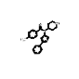 Cc1ccc(C(=O)N(c2csc(-c3ccccc3)c2)C2CCNCC2)cc1